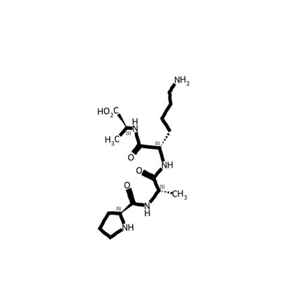 C[C@H](NC(=O)[C@H](CCCCN)NC(=O)[C@H](C)NC(=O)[C@@H]1CCCN1)C(=O)O